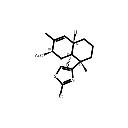 CCc1nc([C@@]2(C)CCC[C@H]3C=C(C)[C@H](OC(C)=O)[C][C@@]32O)cs1